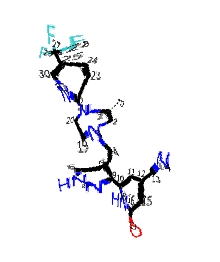 C[C@@H]1CN(Cc2c[nH]nc2-c2cc(C#N)cc(=O)[nH]2)CCN1c1ccc(C(F)(F)F)cn1